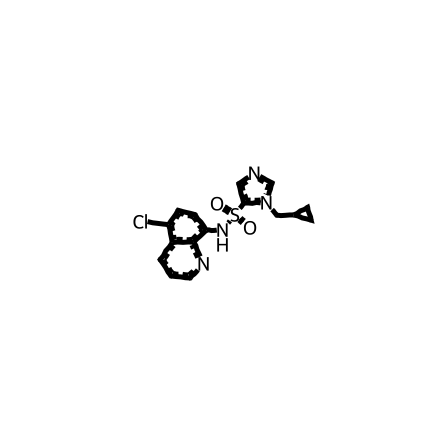 O=S(=O)(Nc1ccc(Cl)c2cccnc12)c1cncn1CC1CC1